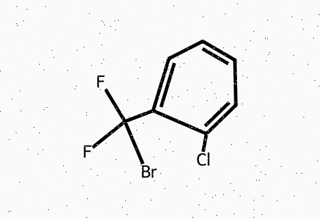 FC(F)(Br)c1ccccc1Cl